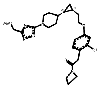 COCc1noc(N2CCC([C@H]3C[C@H]3CCOc3ccc(CC(=O)N4CCC4)c(Cl)c3)CC2)n1